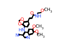 COCCNC(=O)C=Cc1ccc(Nc2c(C#N)cnc3cc(OC)c(OC)cc23)c2c1OCO2